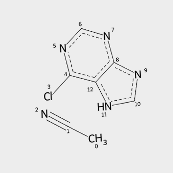 CC#N.Clc1ncnc2nc[nH]c12